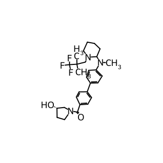 CN(c1ccc(-c2ccc(C(=O)N3CC[C@H](O)C3)cc2)cc1)C1CCCCN1CC(C)(C)C(F)(F)F